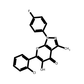 Cc1nn(-c2ccc(F)cc2)c2oc(-c3ccccc3Cl)c(O)c(=O)c12